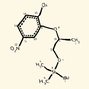 C[C@@H](CO[Si](C)(C)C(C)(C)C)Oc1cc([N+](=O)[O-])ccc1Cl